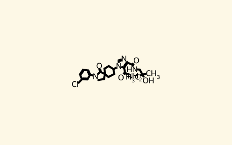 CC(C)(O)CNC(=O)c1ncn(C2CCC3(CC2)CCN(c2cccc(Cl)c2)C3=O)c1C(N)=O